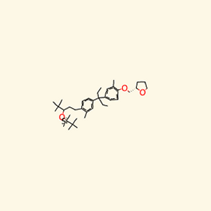 CCC(CC)(c1ccc(CCC(O[Si](C)(C)C(C)(C)C)C(C)(C)C)c(C)c1)c1ccc(OC[C@@H]2CCCO2)c(C)c1